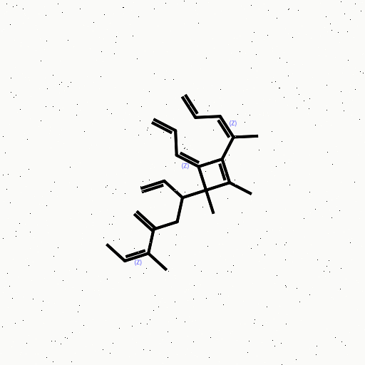 C=C/C=C(/C)C1=C(C)C(C)(C(C=C)CC(=C)/C(C)=C\C)/C1=C/C=C